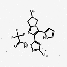 O=C(O)C(F)(F)F.OC1Cc2nc(-c3nc(C(F)(F)F)n[nH]3)c(-c3cnc[nH]3)n2C1